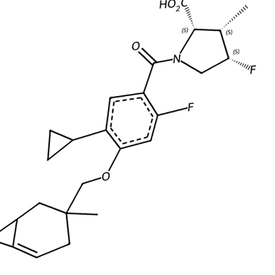 C[C@@H]1[C@H](F)CN(C(=O)c2cc(C3CC3)c(OCC3(C)CC=C4CC4C3)cc2F)[C@@H]1C(=O)O